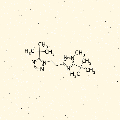 Cn1nc(CCn2ncnc2C(C)(C)C)nc1C(C)(C)C